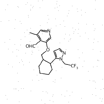 Cc1cncc(OCC2CCCCC2c2ccnn2CC(F)(F)F)c1C=O